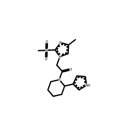 Cc1cn(CC(=O)N2CCCCC2c2cc[nH]c2)c(S(C)(=O)=O)n1